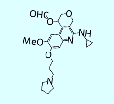 COc1cc2c3c(c(NC4CC4)nc2cc1OCCCN1CCCC1)COCC3OC=O